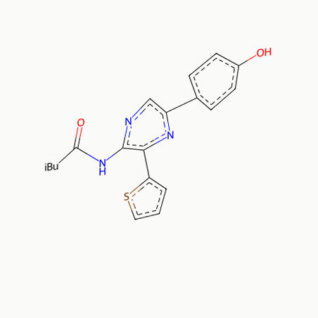 CCC(C)C(=O)Nc1ncc(-c2ccc(O)cc2)nc1-c1cccs1